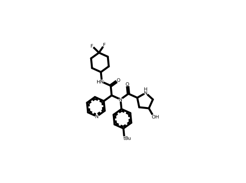 CC(C)(C)c1ccc(N(C(=O)C2CC(O)CN2)C(C(=O)NC2CCC(F)(F)CC2)c2cccnc2)cc1